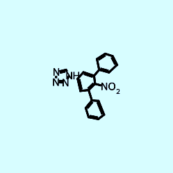 O=[N+]([O-])c1c(-c2ccccc2)cccc1-c1ccccc1.c1nnn[nH]1